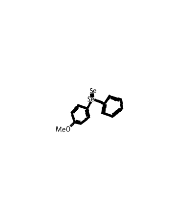 COc1ccc([Se](=[Se])c2ccccc2)cc1